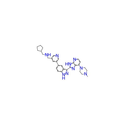 CN1CCN(c2ccnc3[nH]c(-c4n[nH]c5ccc(-c6cncc(CNCC7CCCC7)c6)cc45)nc23)CC1